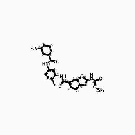 Cc1ccc(NC(=O)c2cccc(C(F)(F)F)c2)cc1NC(=O)c1ccc2nc(NC(=O)OC(C)C)sc2c1